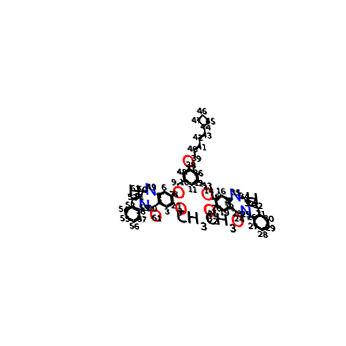 COc1cc2c(cc1OCc1cc(COc3cc4c(cc3OC)C(=O)N3c5ccccc5C[C@H]3C=N4)cc(OCCCCCC3CCC3)c1)N=C[C@@H]1Cc3ccccc3N1C2=O